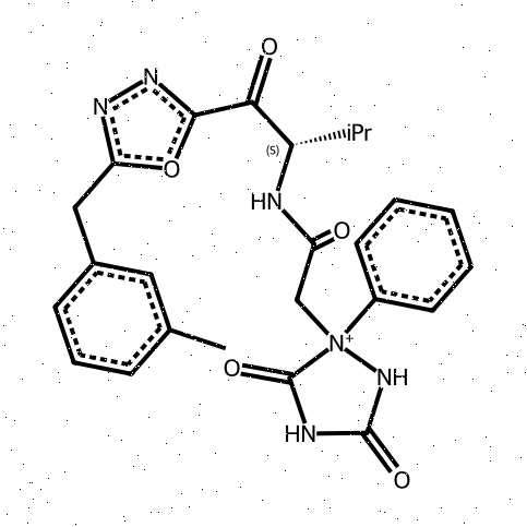 Cc1cccc(Cc2nnc(C(=O)[C@@H](NC(=O)C[N+]3(c4ccccc4)NC(=O)NC3=O)C(C)C)o2)c1